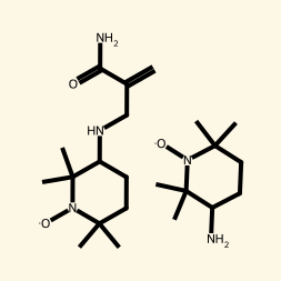 C=C(CNC1CCC(C)(C)N([O])C1(C)C)C(N)=O.CC1(C)CCC(N)C(C)(C)N1[O]